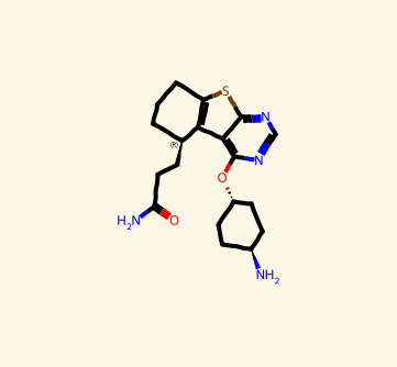 NC(=O)CC[C@H]1CCCc2sc3ncnc(O[C@H]4CC[C@H](N)CC4)c3c21